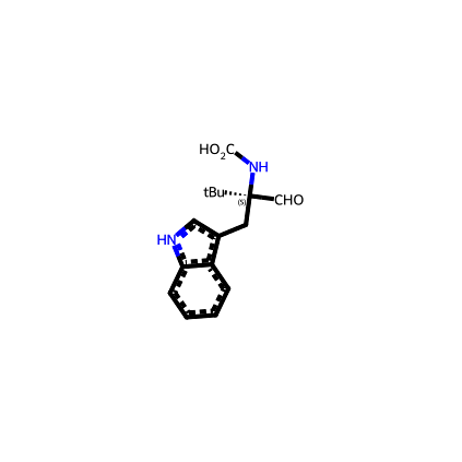 CC(C)(C)[C@](C=O)(Cc1c[nH]c2ccccc12)NC(=O)O